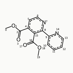 COC(=O)c1ccnc(-c2ccccn2)c1C(=O)OC